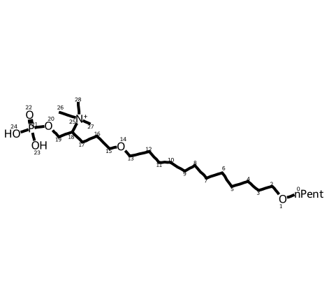 CCCCCOCCCCCCCCCCCCOCCCC(COP(=O)(O)O)[N+](C)(C)C